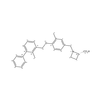 Cc1cc(CN2CC[C@H]2C(=O)O)ccc1OCc1cccc(-c2ccccc2)c1C